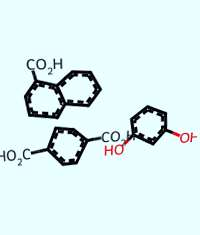 O=C(O)c1ccc(C(=O)O)cc1.O=C(O)c1cccc2ccccc12.Oc1cccc(O)c1